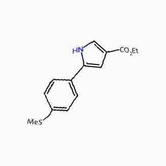 CCOC(=O)c1c[nH]c(-c2ccc(SC)cc2)c1